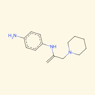 C=C(CN1CCCCC1)Nc1ccc(N)cc1